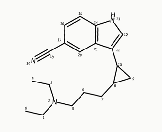 CCN(CC)CCCC1CC1c1c[nH]c2ccc(C#N)cc12